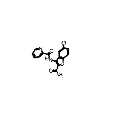 NC(=O)c1oc2ccc(Cl)cc2c1NC(=O)c1ccccn1